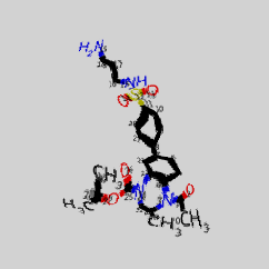 CC(=O)N1c2ccc(-c3ccc(S(=O)(=O)NCCCN)cc3)cc2N(C(=O)OC(C)C)C[C@@H]1C